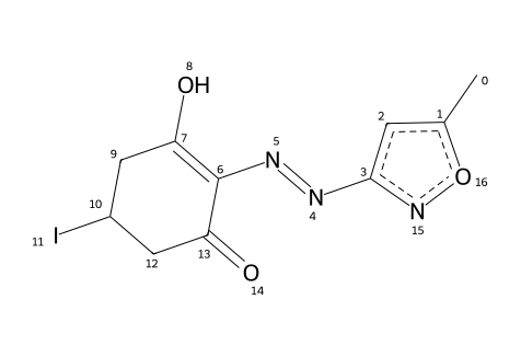 Cc1cc(N=NC2=C(O)CC(I)CC2=O)no1